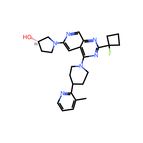 Cc1cccnc1C1CCN(c2nc(C3(F)CCC3)nc3cnc(N4CC[C@H](O)C4)cc23)CC1